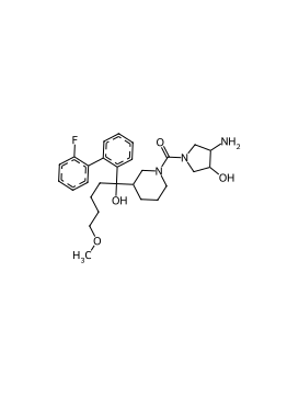 COCCCCC(O)(c1ccccc1-c1ccccc1F)C1CCCN(C(=O)N2CC(N)C(O)C2)C1